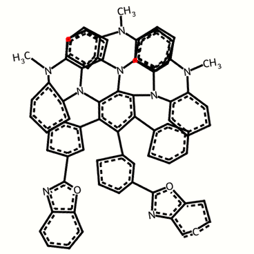 CN1c2ccccc2N(c2c(-c3ccccc3)c(-c3cccc(-c4nc5ccccc5o4)c3)c(-c3cccc(-c4nc5ccccc5o4)c3)c(N3c4ccccc4N(C)c4ccccc43)c2N2c3ccccc3N(C)c3ccccc32)c2ccccc21